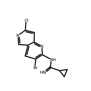 N=C(Nc1nc2cc(Cl)ncc2cc1Br)C1CC1